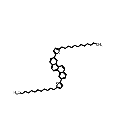 CCCCCCCCCCCCc1ccc(-c2ccc3ccc4c5cc(-c6ccc(CCCCCCCCCCCC)s6)ccc5ccc4c3c2)s1